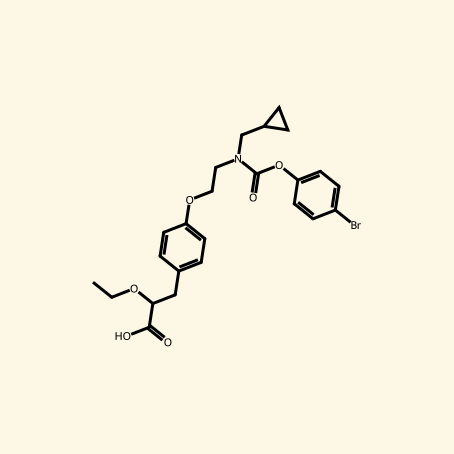 CCOC(Cc1ccc(OCCN(CC2CC2)C(=O)Oc2ccc(Br)cc2)cc1)C(=O)O